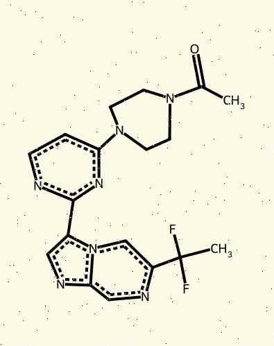 CC(=O)N1CCN(c2ccnc(-c3cnc4cnc(C(C)(F)F)cn34)n2)CC1